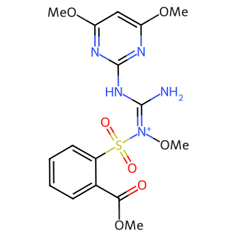 COC(=O)c1ccccc1S(=O)(=O)[N+](OC)=C(N)Nc1nc(OC)cc(OC)n1